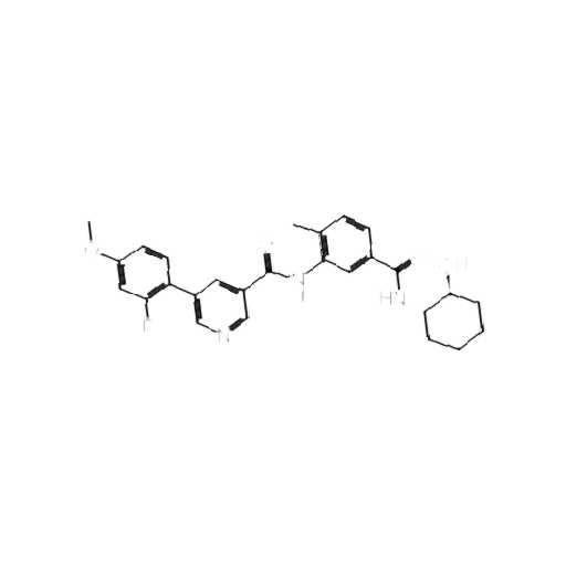 COc1ccc(-c2cncc(C(=O)Nc3cc(C(=O)N[C@H]4CCCC[C@@H]4O)ccc3C)c2)c(F)c1